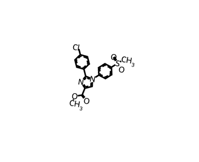 COC(=O)c1cn(-c2ccc(S(C)(=O)=O)cc2)c(-c2ccc(Cl)cc2)n1